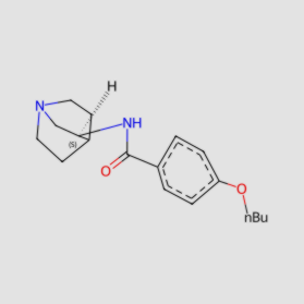 CCCCOc1ccc(C(=O)N[C@@H]2CN3CCC2CC3)cc1